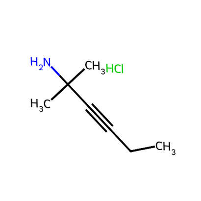 CCC#CC(C)(C)N.Cl